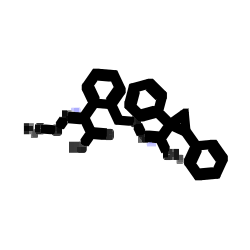 CO/N=C(\C(=O)O)c1ccccc1CO/N=C(/C)C1(c2ccccc2)CC1c1ccccc1